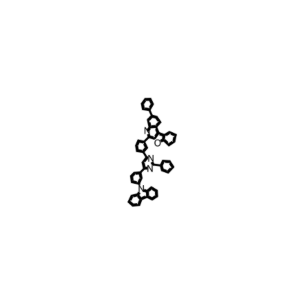 c1ccc(-c2ccc3c(c2)nc(-c2cccc(-c4cc(-c5cccc(-n6c7ccccc7c7ccccc76)c5)nc(-c5ccccc5)n4)c2)c2oc4ccccc4c23)cc1